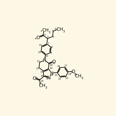 CCCC(C(C)=O)c1ccc(N2CCc3c(C(C)=O)nn(-c4ccc(OC)cc4)c3C2=O)cc1